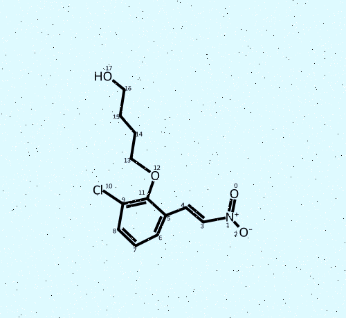 O=[N+]([O-])C=Cc1cccc(Cl)c1OCCCCO